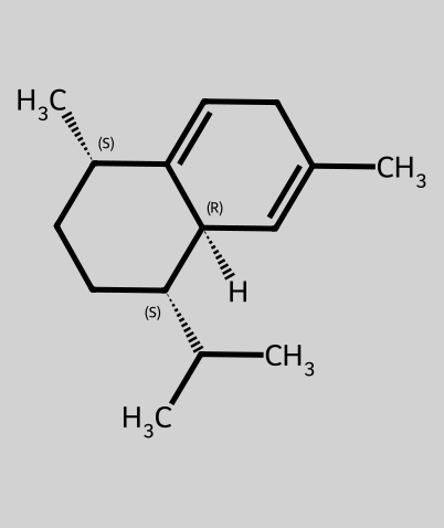 CC1=C[C@@H]2C(=CC1)[C@@H](C)CC[C@H]2C(C)C